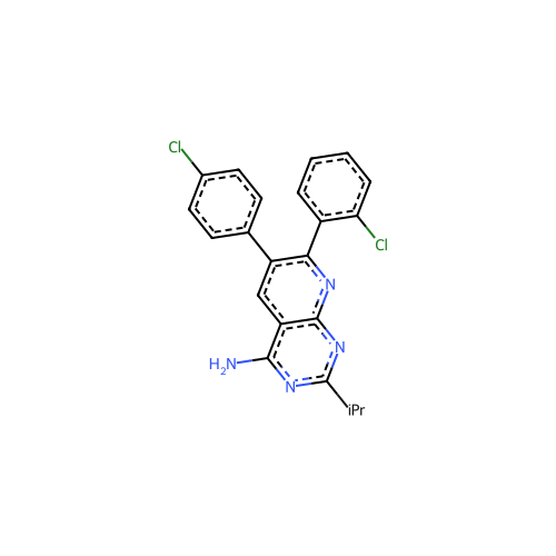 CC(C)c1nc(N)c2cc(-c3ccc(Cl)cc3)c(-c3ccccc3Cl)nc2n1